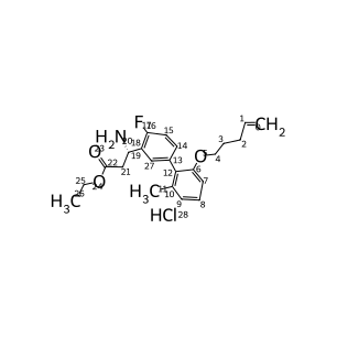 C=CCCCOc1cccc(C)c1-c1ccc(F)c([C@@H](N)CC(=O)OCC)c1.Cl